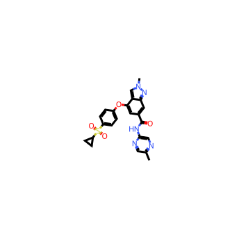 Cc1cnc(NC(=O)c2cc(Oc3ccc(S(=O)(=O)C4CC4)cc3)c3cn(C)nc3c2)cn1